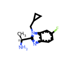 C[C@H](N)c1nc2ccc(F)cc2n1CC1CC1